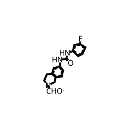 O=[C]N1CCc2cc(NC(=O)Nc3cccc(F)c3)ccc2C1